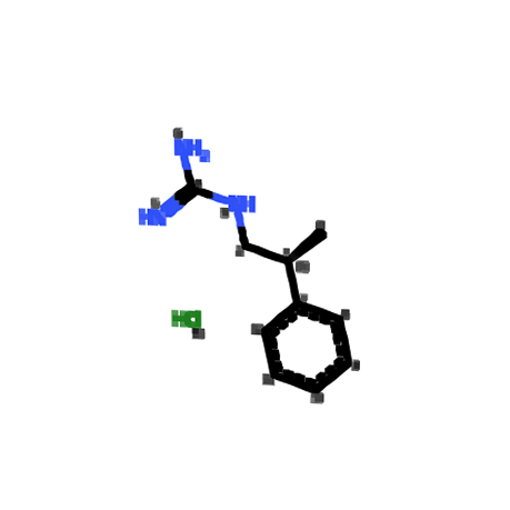 C[C@H](CNC(=N)N)c1ccccc1.Cl